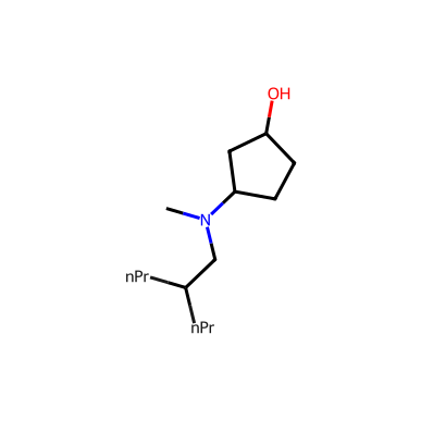 CCCC(CCC)CN(C)C1CCC(O)C1